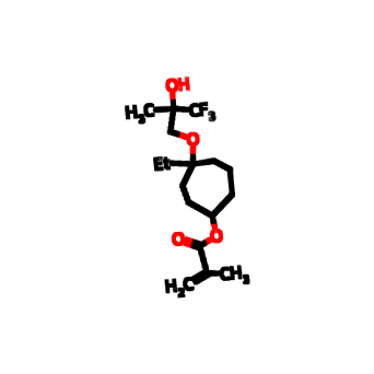 C=C(C)C(=O)OC1CCCC(CC)(OCC(C)(O)C(F)(F)F)CC1